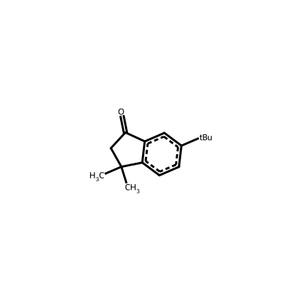 CC(C)(C)c1ccc2c(c1)C(=O)CC2(C)C